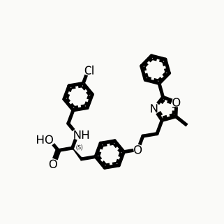 Cc1oc(-c2ccccc2)nc1CCOc1ccc(C[C@H](NCc2ccc(Cl)cc2)C(=O)O)cc1